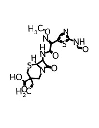 C=CC1(C(=O)O)CS[C@@H]2C(NC(=O)C(=NOC)c3cnc(NC=O)s3)C(=O)N2C1